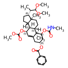 CNC(=O)O[C@H]1C[C@H](OC(=O)c2ccccc2)CC2=C[C@@H](OC(=O)OC)[C@H]3[C@@H]4CC[C@H](C(C)C(OC)OC)[C@@]4(C)CC[C@@H]3[C@]21C